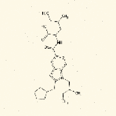 CCC(C)CC(NC(=O)c1ccc2c(c1)nc(CC1CCCC1)n2CC(C)CC)C(=O)O